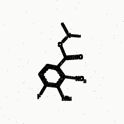 CCCCc1c(F)ccc(C(=O)ON(C)C)c1[N+](=O)[O-]